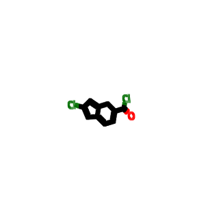 O=C(Cl)C1=CC=C2C=C(Cl)C=C2C1